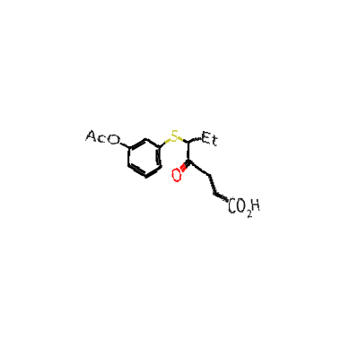 CCC(Sc1cccc(OC(C)=O)c1)C(=O)CCC(=O)O